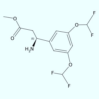 COC(=O)C[C@H](N)c1cc(OC(F)F)cc(OC(F)F)c1